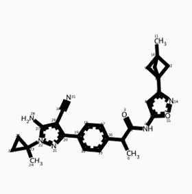 CC(C(=O)Nc1cc(C23CC(C)(C2)C3)no1)c1ccc(-c2nn(C3(C)CC3)c(N)c2C#N)cc1